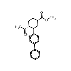 C=C(C)[C@@H]1CC[C@@H](C(=O)OC)C[C@H]1c1ccc(-c2ccccc2)cc1